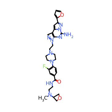 CN(CCNC(=O)c1ccc(N2CCN(CCn3ncc4c3nc(N)n3nc(-c5ccco5)cc43)CC2)c(F)c1)C1COC1